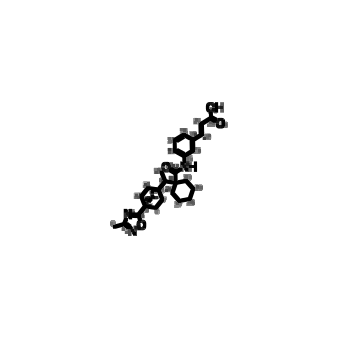 Cc1noc(C23CCC(C(C)C4(C(=O)Nc5cccc(/C=C/C(=O)O)c5)CCCCC4)(CC2)CC3)n1